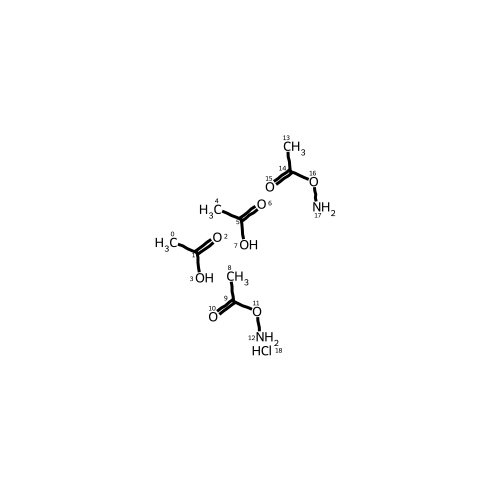 CC(=O)O.CC(=O)O.CC(=O)ON.CC(=O)ON.Cl